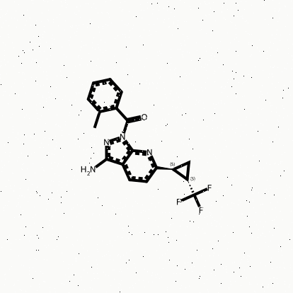 Cc1ccccc1C(=O)n1nc(N)c2ccc([C@H]3C[C@@H]3C(F)(F)F)nc21